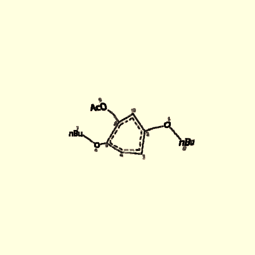 CCCCOc1ccc(OCCCC)c(OC(C)=O)c1